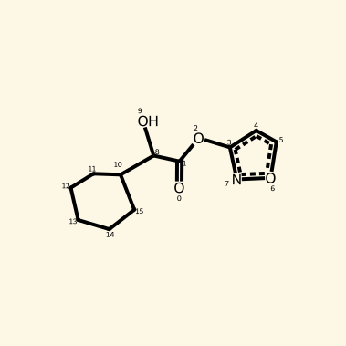 O=C(Oc1ccon1)C(O)C1CCCCC1